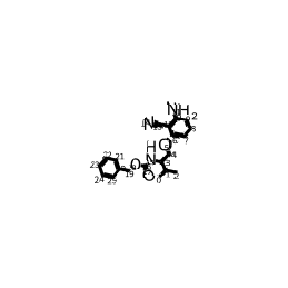 CC(C)C(COc1cccc(N)c1C#N)NC(=O)OCc1ccccc1